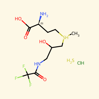 C[SH](CC[C@H](N)C(=O)O)CC(O)CNC(=O)C(F)(F)F.Cl.S